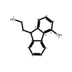 OCCC1c2ccccc2-c2c(O)cccc21